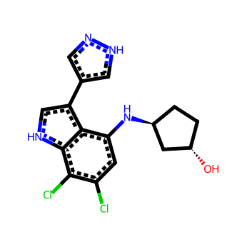 O[C@H]1CC[C@H](Nc2cc(Cl)c(Cl)c3[nH]cc(-c4cn[nH]c4)c23)C1